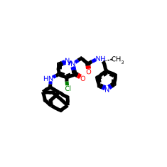 C[C@@H](NC(=O)Cn1ncc(NC2C3CC4CC(C3)CC2C4)c(Cl)c1=O)c1ccncc1